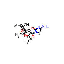 CO[Si](C)(C)O[Si](C)(C)O[C@@H]1[C@@H](C)OC(n2ccc(N)nc2=O)[C@@H]1C